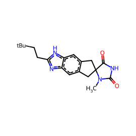 CN1C(=O)NC(=O)C12Cc1cc3nc(CCC(C)(C)C)[nH]c3cc1C2